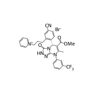 COC(=O)C1=C(C)N(c2cccc(C(F)(F)F)c2)c2n[nH]c(=O)n2[C@@H]1c1ccc(C#N)cc1CCC[n+]1ccccc1.[Br-]